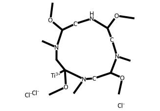 COC1CN(C)C(OC)CN(C)[C]([Ti+3])(OC)CN(C)C(OC)CN1.[Cl-].[Cl-].[Cl-]